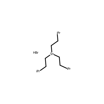 Br.CC(C)C[CH2][Sn]([CH2]CC(C)C)[CH2]CC(C)C